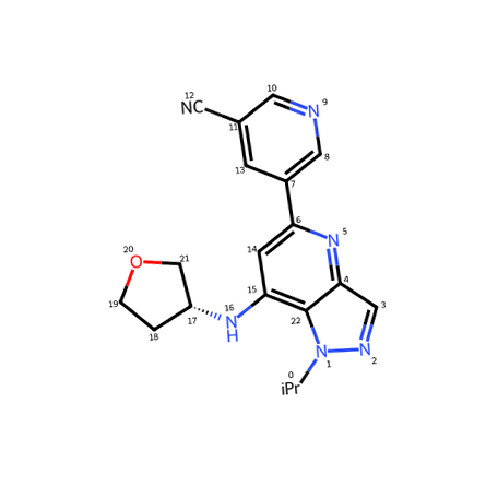 CC(C)n1ncc2nc(-c3cncc(C#N)c3)cc(N[C@@H]3CCOC3)c21